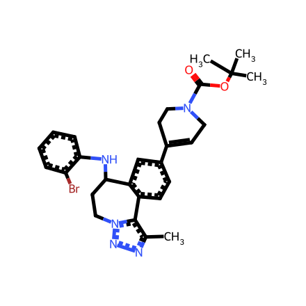 Cc1nnn2c1-c1ccc(C3=CCN(C(=O)OC(C)(C)C)CC3)cc1C(Nc1ccccc1Br)CC2